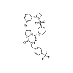 O=C(NCc1ccc(C(F)(F)F)cc1)[C@H]1CCCN1C(=O)[C@H]1CCCN(S(=O)(=O)N2CC[C@H]2c2cccc(Br)c2)C1